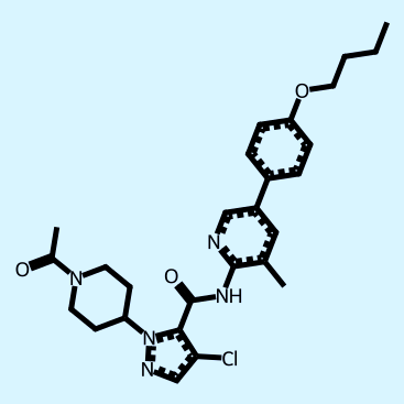 CCCCOc1ccc(-c2cnc(NC(=O)c3c(Cl)cnn3C3CCN(C(C)=O)CC3)c(C)c2)cc1